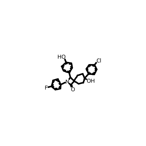 O=C1N(c2ccc(F)cc2)C(c2ccc(O)cc2)C12CCC(O)(c1ccc(Cl)cc1)CC2